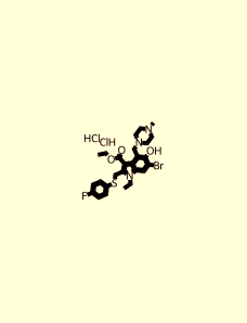 CCOC(=O)c1c(CSc2ccc(F)cc2)n(CC)c2cc(Br)c(O)c(CN3CCN(C)CC3)c12.Cl.Cl